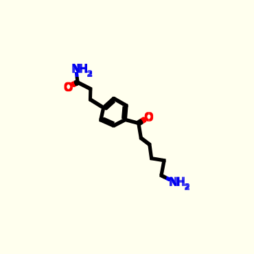 NCCCCCC(=O)c1ccc(CCC(N)=O)cc1